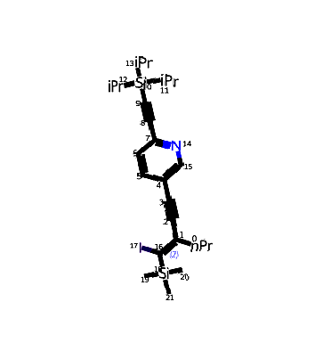 CCC/C(C#Cc1ccc(C#C[Si](C(C)C)(C(C)C)C(C)C)nc1)=C(/I)[Si](C)(C)C